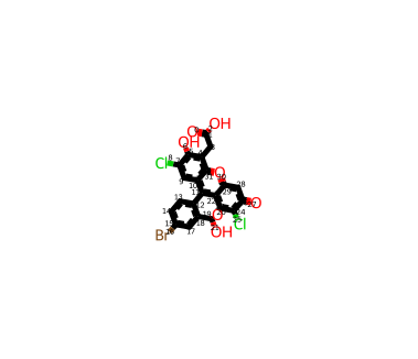 O=C(O)Cc1c(O)c(Cl)cc2c(-c3ccc(Br)cc3C(=O)O)c3cc(Cl)c(=O)cc-3oc12